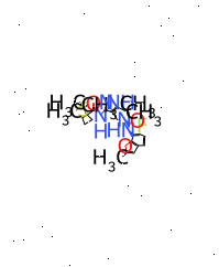 Cc1cc2ccc(F)c(NC(=O)N3Cc4c(NC(=O)C5(S(C)(C)C)CCC5)n[nH]c4C3(C)C)c2o1